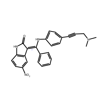 CN(C)CC#Cc1ccc(N/C(=C2\C(=O)Nc3ccc([N+](=O)[O-])cc32)c2ccccc2)cc1